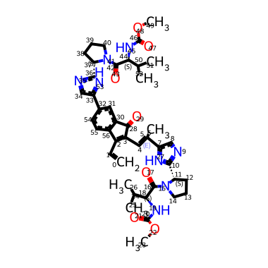 C=CC1=C(/C=C(\C)c2cnc([C@@H]3CCCN3C(=O)[C@@H](NC(=O)OC)C(C)C)[nH]2)C(=O)c2cc(-c3cnc([C@@H]4CCCN4C(=O)[C@@H](NC(=O)OC)C(C)C)[nH]3)ccc21